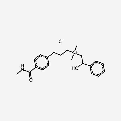 CNC(=O)c1ccc(CCC[N+](C)(C)CC(O)c2ccccc2)cc1.[Cl-]